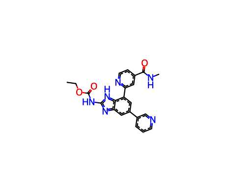 CCOC(=O)Nc1nc2cc(-c3cccnc3)cc(-c3cc(C(=O)NC)ccn3)c2[nH]1